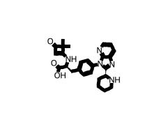 CC1(C)C(=O)C=C1N[C@@H](Cc1ccc(-n2c([C@H]3CCCCN3)nc3cccnc32)cc1)C(=O)O